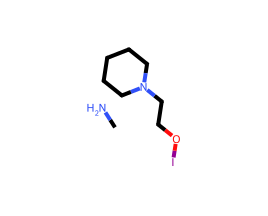 CN.IOCCN1CCCCC1